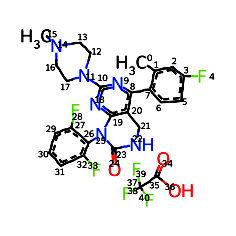 Cc1cc(F)ccc1-c1nc(N2CCN(C)CC2)nc2c1CNC(=O)N2c1c(F)cccc1F.O=C(O)C(F)(F)F